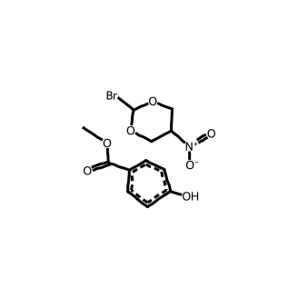 COC(=O)c1ccc(O)cc1.O=[N+]([O-])C1COC(Br)OC1